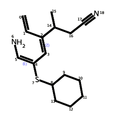 C=C/C(=C\C(=C/N)SC1CCCCC1)C(C)CC#N